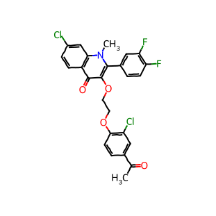 CC(=O)c1ccc(OCCOc2c(-c3ccc(F)c(F)c3)n(C)c3cc(Cl)ccc3c2=O)c(Cl)c1